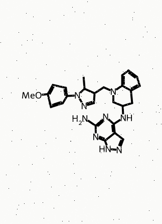 COc1ccc(N2N=CC(CN3CC(Nc4nc(N)nc5[nH]ncc45)Cc4ccccc43)C2C)cc1